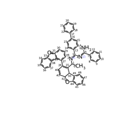 CC(/N=C(\N=C(/N)c1ccccc1)c1ccc(-c2ccccc2)cc1)C1=C(c2cccc3oc4ccccc4c23)C=CC2Oc3ccccc3C12